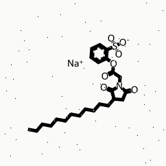 CCCCCCCCCCCCC1CC(=O)N(CC(=O)Oc2ccccc2S(=O)(=O)[O-])C1=O.[Na+]